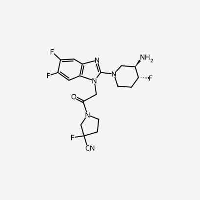 N#CC1(F)CCN(C(=O)Cn2c(N3CC[C@@H](F)[C@H](N)C3)nc3cc(F)c(F)cc32)C1